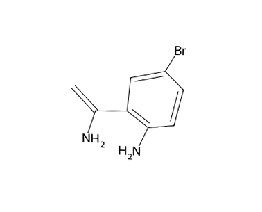 C=C(N)c1cc(Br)ccc1N